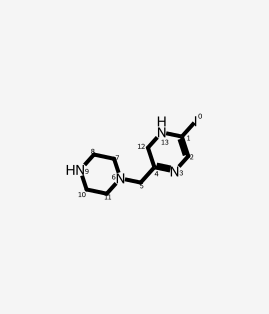 IC1=CN=C(CN2CCNCC2)CN1